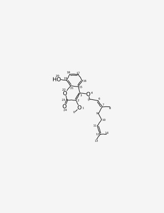 COc1c(OCC=C(C)CCC=C(C)C)c2cccc(O)c2oc1=O